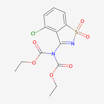 CCOC(=O)N(C(=O)OCC)C1=NS(=O)(=O)c2cccc(Cl)c21